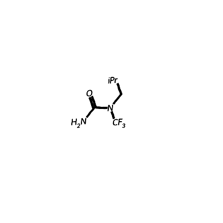 CC(C)CN(C(N)=O)C(F)(F)F